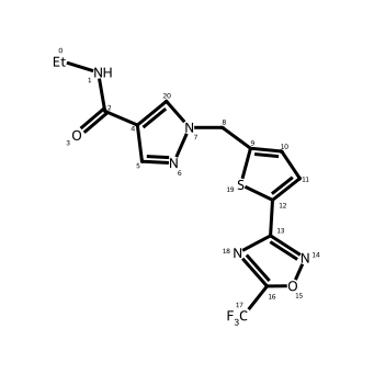 CCNC(=O)c1cnn(Cc2ccc(-c3noc(C(F)(F)F)n3)s2)c1